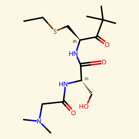 CCSC[C@H](NC(=O)[C@H](CO)NC(=O)CN(C)C)C(=O)C(C)(C)C